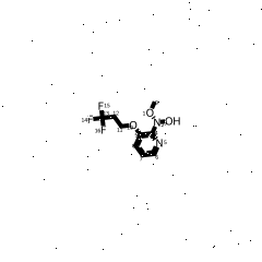 CON(O)c1ncccc1OCCC(F)(F)F